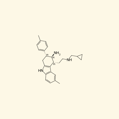 Cc1ccc([C@H]2Cc3[nH]c4ccc(C)cc4c3[C@@H](CCNCC3CC3)[C@@H]2N)cc1